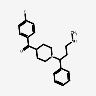 CNCCC(c1ccccc1)N1CCC(C(=O)c2ccc(F)cc2)CC1